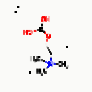 C[N+](C)(C)CCOB(O)O